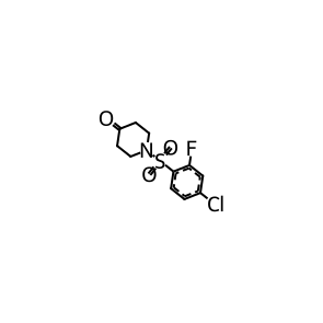 O=C1CCN(S(=O)(=O)c2ccc(Cl)cc2F)CC1